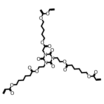 C=COC(=C)OCCCCCOC(=O)Cn1c(=O)n(CCOC(=O)CCCCCOC(=O)C=C)c(=O)n(CCOC(=O)CCCCCOC(=O)C=C)c1=O